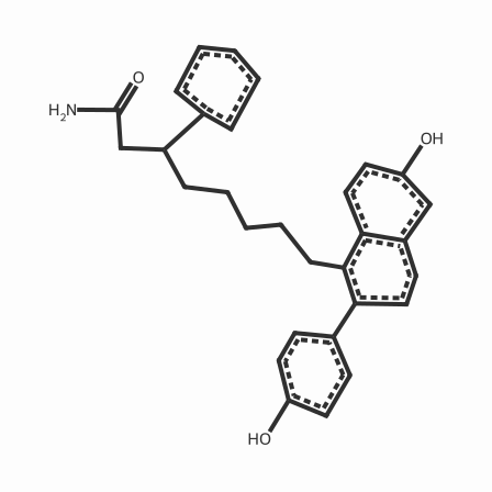 NC(=O)CC(CCCCCc1c(-c2ccc(O)cc2)ccc2cc(O)ccc12)c1ccccc1